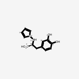 O=C(O)[C@H](Cc1ccc(O)c(O)c1)Np1cccc1